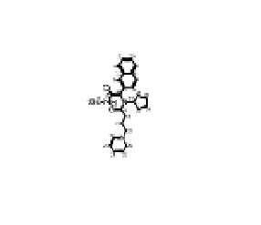 CC(C)(C)NC(=O)C(c1ccc2ccccc2c1)N(C(=O)CCCN1C=CC=CC1)C1CCCC1